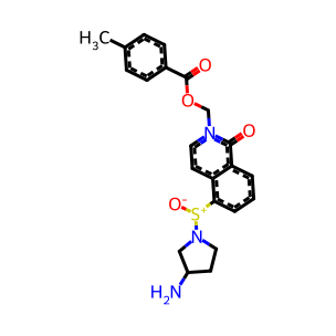 Cc1ccc(C(=O)OCn2ccc3c([S+]([O-])N4CCC(N)C4)cccc3c2=O)cc1